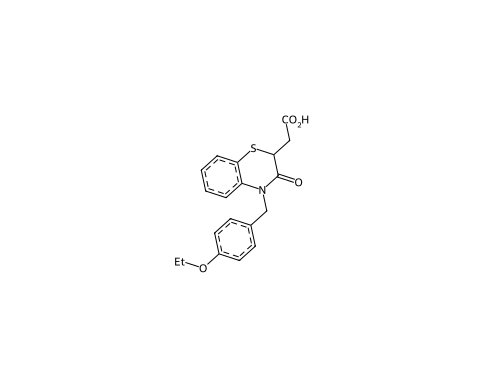 CCOc1ccc(CN2C(=O)C(CC(=O)O)Sc3ccccc32)cc1